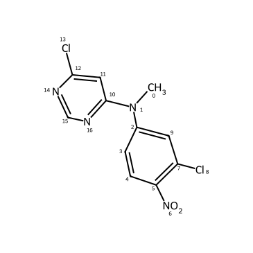 CN(c1ccc([N+](=O)[O-])c(Cl)c1)c1cc(Cl)ncn1